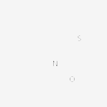 [O-][n+]1ccccc1[S]